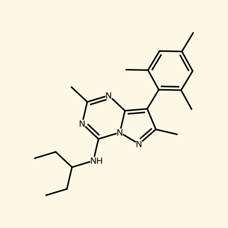 CCC(CC)Nc1nc(C)nc2c(-c3c(C)cc(C)cc3C)c(C)nn12